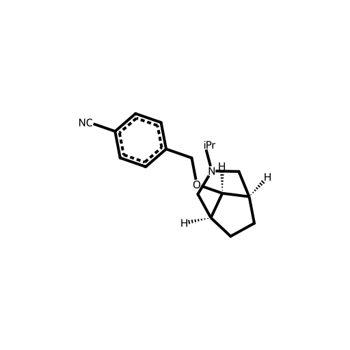 CC(C)N1C[C@H]2CC[C@@H](C1)[C@H]2OCc1ccc(C#N)cc1